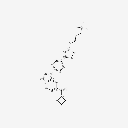 C[Si](C)(C)CCOCn1cc(-c2ccc(-n3cnc4ccc(C(=O)N5CCC5)cc43)cc2)cn1